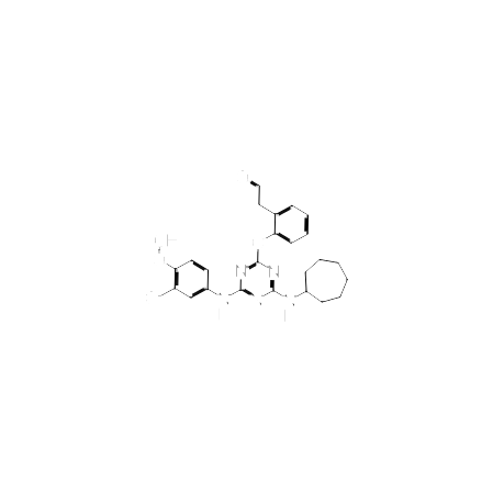 COc1ccc(Nc2nc(NC3CCCCCC3)nc(Oc3ccccc3CC=O)n2)cc1Cl